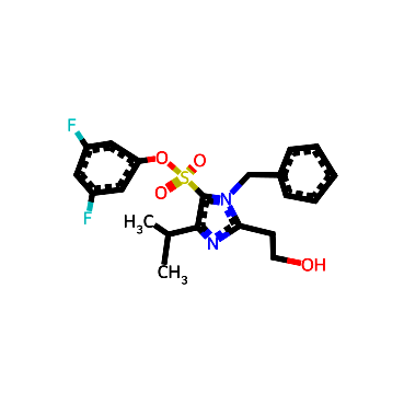 CC(C)c1nc(CCO)n(Cc2ccccc2)c1S(=O)(=O)Oc1cc(F)cc(F)c1